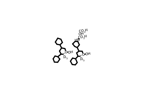 CC(CC(COO)C1CCCCC1)C1CCCCC1.CC(CC(COO)C1CCCCC1)C1CCCCC1.O=C(O)O.O=C(O)O